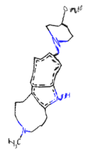 COC1CN(c2ccc3c4c([nH]c3c2)CCN(C)CC4)C1